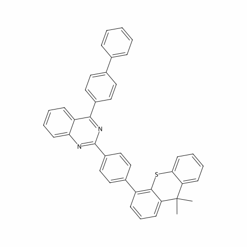 CC1(C)c2ccccc2Sc2c(-c3ccc(-c4nc(-c5ccc(-c6ccccc6)cc5)c5ccccc5n4)cc3)cccc21